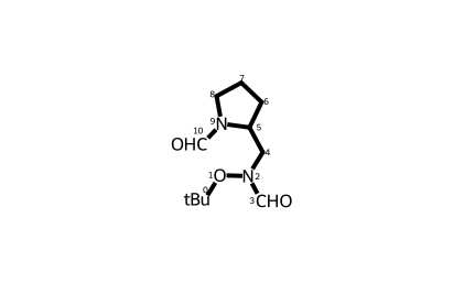 CC(C)(C)ON(C=O)CC1CCCN1C=O